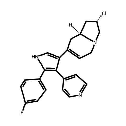 Fc1ccc(-c2[nH]cc(C3=CCN4C[C@@H](Cl)C[C@@H]4C3)c2-c2ccncc2)cc1